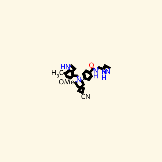 COc1cc(C)c2[nH]ccc2c1CN1CCC2(CC(C#N)C2)C[C@H]1c1ccc(C(=O)NCc2ccn[nH]2)cc1